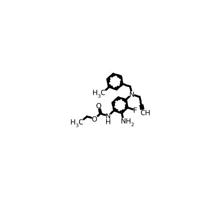 C#CCN(Cc1cccc(C)c1)c1ccc(NC(=O)OCC)c(N)c1F